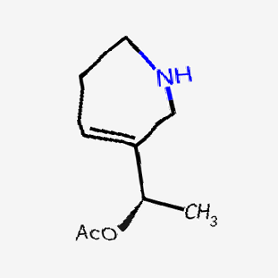 CC(=O)O[C@H](C)C1=CCCNC1